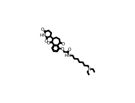 CCN(CC)CCCCCCCNC(=O)COc1cccc2c1C(=O)CCC(C1CCC(=O)NC1=O)C2=O